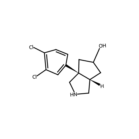 OC1C[C@@H]2CNC[C@]2(c2ccc(Cl)c(Cl)c2)C1